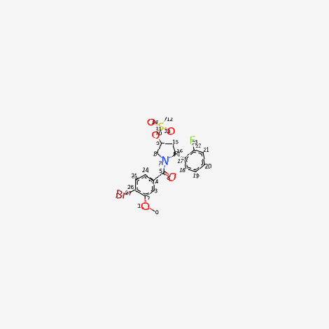 COc1cc(C(=O)N2CC(OS(C)(=O)=O)C[C@@H]2c2ccccc2F)ccc1Br